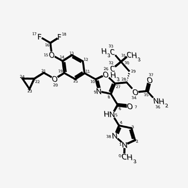 Cn1ccc(NC(=O)c2nc(-c3ccc(OC(F)F)c(OCC4CC4)c3)oc2[C@H](CC(C)(C)C)OC(N)=O)n1